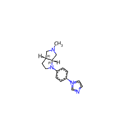 CN1C[C@H]2CCN(c3ccc(-n4ccnc4)cc3)[C@H]2C1